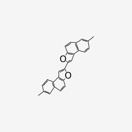 Cc1ccc2c(ccc3oc(-c4cc5c(ccc6cc(C)ccc65)o4)cc32)c1